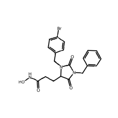 O=C(CCC1C(=O)N(Cc2ccccc2)C(=O)N1Cc1ccc(Br)cc1)NO